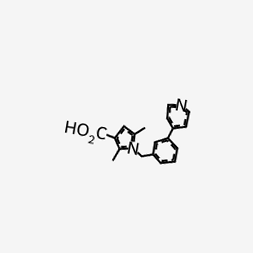 Cc1cc(C(=O)O)c(C)n1Cc1cccc(-c2ccncc2)c1